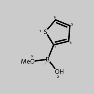 COB(O)c1cccs1